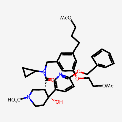 COCCCc1cc(CN(C(=O)[C@H]2CN(C(=O)O)CC[C@]2(O)c2ccc(OCc3ccccc3)nc2)C2CC2)cc(OCCOC)c1